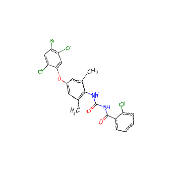 Cc1cc(Oc2cc(Cl)c(Br)cc2Cl)cc(C)c1NC(=O)NC(=O)c1ccccc1Cl